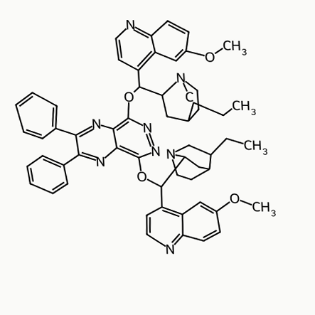 CCC1CN2CCC1CC2C(Oc1nnc(OC(c2ccnc3ccc(OC)cc23)C2CC3CCN2CC3CC)c2nc(-c3ccccc3)c(-c3ccccc3)nc12)c1ccnc2ccc(OC)cc12